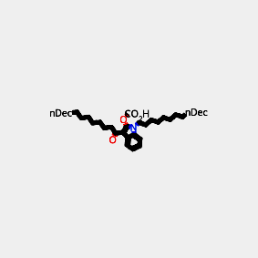 CCCCCCCCCCCCCCCCCCn1c(OC(=O)O)c(C(=O)CCCCCCCCCCCCCCCCC)c2ccccc21